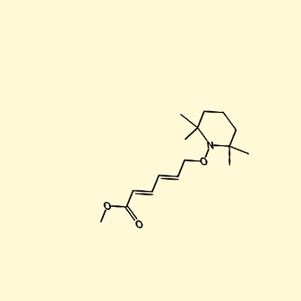 COC(=O)C=CC=CCON1C(C)(C)CCCC1(C)C